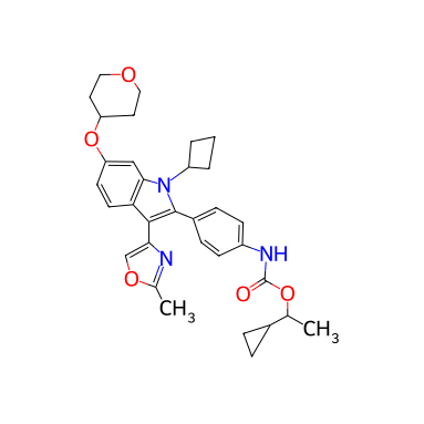 Cc1nc(-c2c(-c3ccc(NC(=O)OC(C)C4CC4)cc3)n(C3CCC3)c3cc(OC4CCOCC4)ccc23)co1